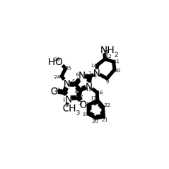 Cn1c(=O)c2c(nc(N3CCCC(N)C3)n2Cc2ccccc2)n(CCO)c1=O